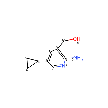 Nc1ncc(C2CC2)cc1CO